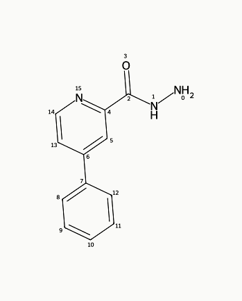 NNC(=O)c1cc(-c2ccccc2)ccn1